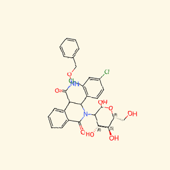 O=C(NOCc1ccccc1)C1c2ccccc2C(=O)N(C2C(O)O[C@H](CO)[C@@H](O)[C@@H]2O)C1c1ccc(Cl)cc1Cl